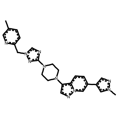 Cc1ccc(Cn2cnc(N3CCN(c4cnn5cc(-c6cnn(C)c6)ccc45)CC3)n2)nc1